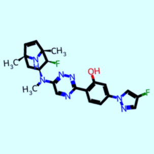 CN(c1cnc(-c2ccc(-n3cc(F)cn3)cc2O)nn1)[C@H]1C[C@]2(C)C=C[C@@](C)(N2)[C@H]1F